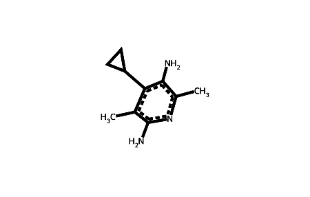 Cc1nc(N)c(C)c(C2CC2)c1N